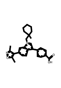 Cc1noc(C)c1-c1ccc2c(-c3ccc(C(=O)O)cc3)cn(CC3(C)CCCCC3)c2c1